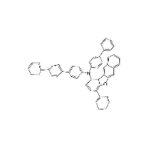 c1ccc(-c2ccc(-c3ccc(N(c4ccc(-c5ccccc5)cc4)c4ccc(-c5ccccc5)c5oc6cc7ccccc7cc6c45)cc3)cc2)cc1